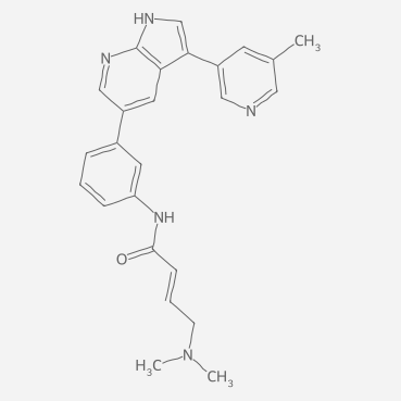 Cc1cncc(-c2c[nH]c3ncc(-c4cccc(NC(=O)/C=C/CN(C)C)c4)cc23)c1